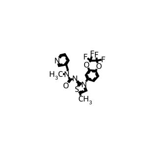 Cc1cn(-c2ccc3c(c2)OC(F)(F)C(F)(F)O3)c(=NC(=O)N(C)Cc2cccnc2)s1